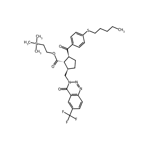 CCCCCSc1ccc(C(=O)[C@H]2CC[C@@H](Cn3nnc4ccc(C(F)(F)F)cc4c3=O)[C@@H]2C(=O)OCC[Si](C)(C)C)cc1